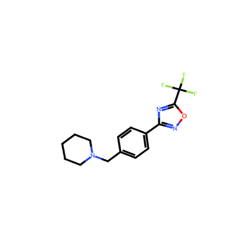 FC(F)(F)c1nc(-c2ccc(CN3CCCCC3)cc2)no1